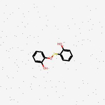 Oc1ccccc1OSc1ccccc1O